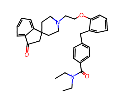 CCN(CC)C(=O)c1ccc(Cc2ccccc2OCCN2CCC3(CC2)CC(=O)c2ccccc23)cc1